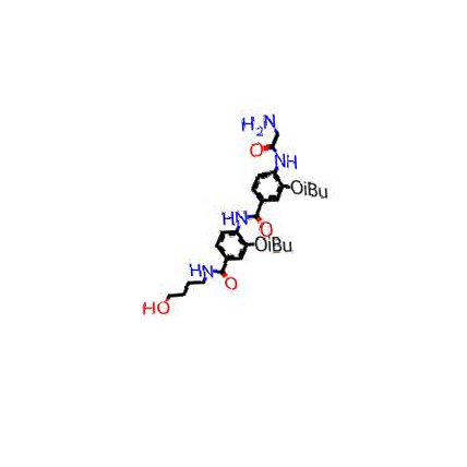 CC(C)COc1cc(C(=O)Nc2ccc(C(=O)NCCCCO)cc2OCC(C)C)ccc1NC(=O)CN